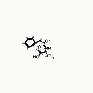 C[C@@H](NS(=O)(=O)Cc1ccccc1)C(=O)O